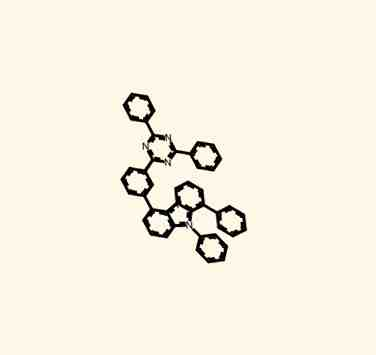 c1ccc(-c2nc(-c3ccccc3)nc(-c3cccc(-c4cccc5c4c4cccc(-c6ccccc6)c4n5-c4ccccc4)c3)n2)cc1